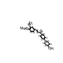 CCOc1cc(C=CC(=O)c2ccc(N3CCC(O)CC3)cc2)ccc1OC